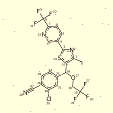 Cc1nc(-c2ccc(C(F)(F)F)nc2)sc1C(OCC(F)(F)F)c1ccc(C#N)c(Cl)c1